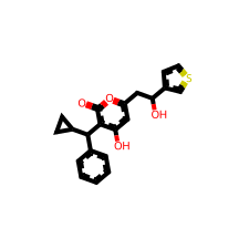 O=c1oc(CC(O)c2ccsc2)cc(O)c1C(c1ccccc1)C1CC1